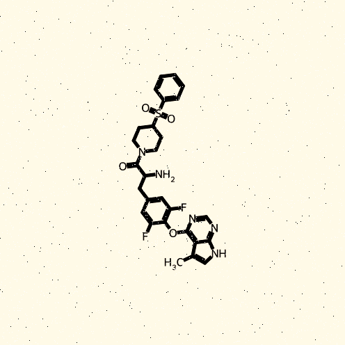 Cc1c[nH]c2ncnc(Oc3c(F)cc(CC(N)C(=O)N4CCC(S(=O)(=O)c5ccccc5)CC4)cc3F)c12